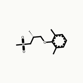 Cc1cccc(C)c1OC[C@@H](C)CS(C)(=O)=O